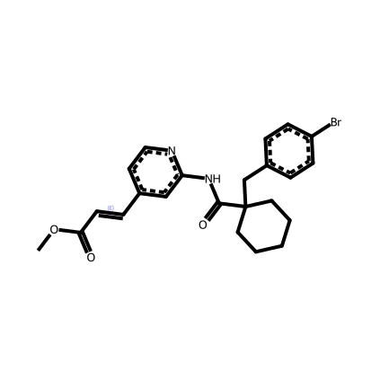 COC(=O)/C=C/c1ccnc(NC(=O)C2(Cc3ccc(Br)cc3)CCCCC2)c1